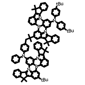 CC(C)(C)c1ccc(N(c2ccc(C(C)(C)C)cc2)c2cc3c4c(c2)-n2c5c(c6cc(C(C)(C)Cc7ccc(N(c8ccccc8)c8cc9c%10c(c8)-n8c%11c(c%12cc(C(C)(C)C)cc(c%128)B%10c8cccc%10c%12c(n-9c8%10)-c8ccccc8C%12(C)C)C(C)(C)c8ccccc8-%11)cc7)cc(c62)B4c2cccc4c6c(n-3c24)-c2ccccc2C6(C)C)C(C)(C)c2ccccc2-5)cc1